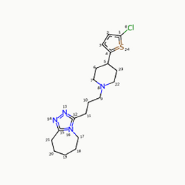 Clc1ccc(C2CCN(CCCc3nnc4n3CCCCC4)CC2)s1